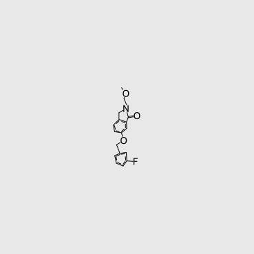 COCCN1Cc2ccc(OCc3cccc(F)c3)cc2C1=O